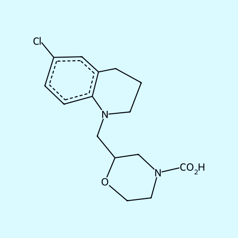 O=C(O)N1CCOC(CN2CCCc3cc(Cl)ccc32)C1